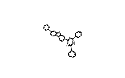 c1ccc(-c2ccc3c(c2)sc2cc(-c4nc(-c5ccccc5)nc(-c5ccccc5)n4)ccc23)cc1